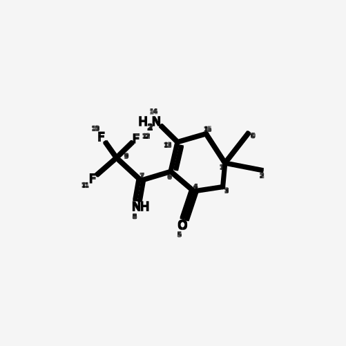 CC1(C)CC(=O)C(C(=N)C(F)(F)F)=C(N)C1